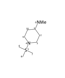 CNC1CCN(S(C)(C)C)CC1